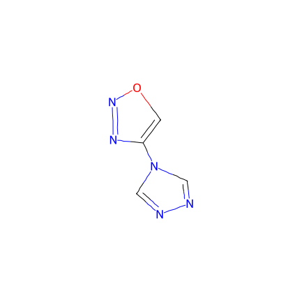 c1onnc1-n1cnnc1